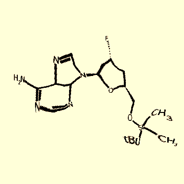 CC(C)(C)[Si](C)(C)OC[C@@H]1C[C@@H](F)[C@H](N2C=NC3C(N)=NC=NC32)O1